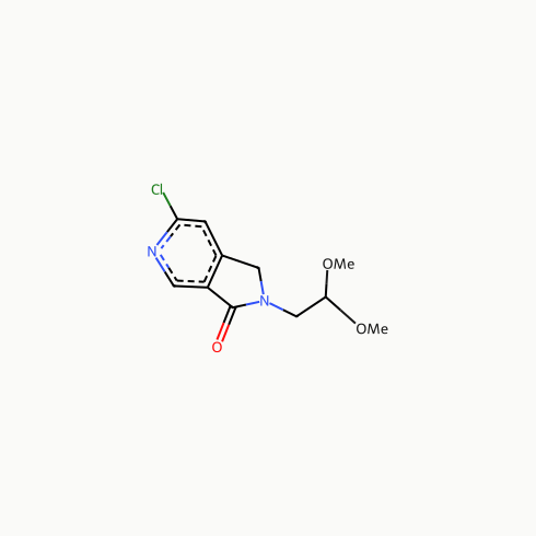 COC(CN1Cc2cc(Cl)ncc2C1=O)OC